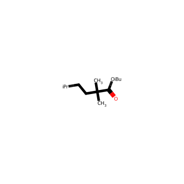 CC(C)CCC(C)(C)C(=O)OCC(C)C